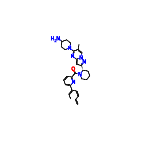 C=C/C=C\C(=C/C)c1cccc(C(=O)N2CCCC[C@H]2c2cc3nc(N4CCC(N)CC4)c(C)cn3n2)n1